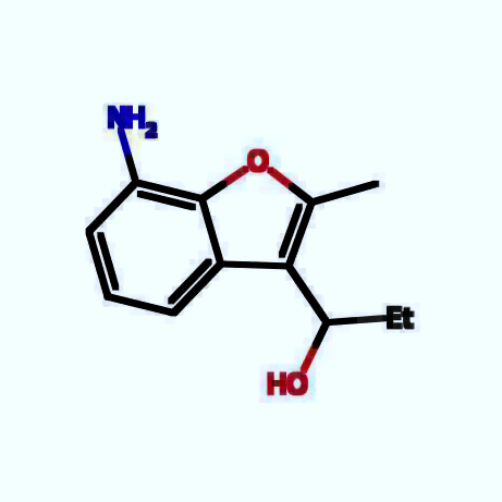 CCC(O)c1c(C)oc2c(N)cccc12